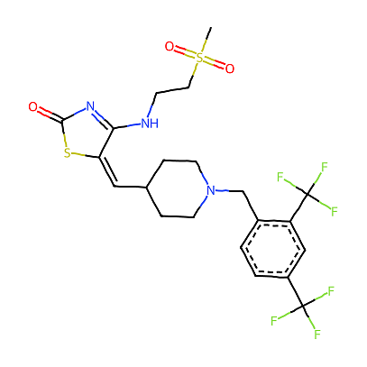 CS(=O)(=O)CCNC1=NC(=O)SC1=CC1CCN(Cc2ccc(C(F)(F)F)cc2C(F)(F)F)CC1